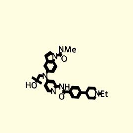 CCN1CCC(c2ccc(C(=O)Nc3cc(N(CC(C)(C)O)c4ccc5c(ccn5C(=O)NC)c4)ccn3)cc2)CC1